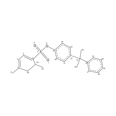 CC1=CC=C(S(=O)(=O)Oc2ccc(C(C)(C)c3ccccc3)cc2)C(C)C1